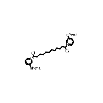 CCCCCc1ccc[n+](C(Cl)CCCCCCCCCCC(Cl)[n+]2cccc(CCCCC)c2)c1